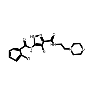 O=C(Nc1[nH]nc(C(=O)NCCN2CCOCC2)c1Br)c1ccccc1Cl